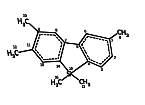 Cc1ccc2c(c1)-c1cc(C)c(C)cc1[Si]2(C)C